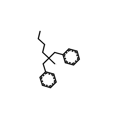 [CH2]C(CCCC)(Cc1ccccc1)Cc1ccccc1